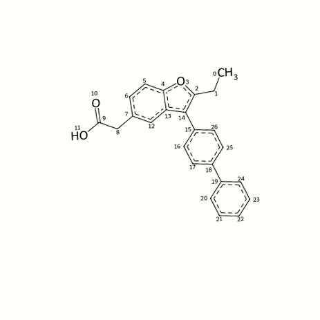 CCc1oc2ccc(CC(=O)O)cc2c1-c1ccc(-c2ccccc2)cc1